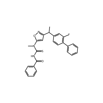 CC(c1ccc(-c2ccccc2)c(F)c1)c1cc(N(C)C(=S)NC(=O)c2ccccc2)on1